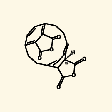 O=C1OC(=O)c2c3ccc(c21)CCC1=CC=C(CC3)[C@H]2C(=O)OC(=O)C12